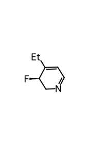 CCC1=CC=NC[C@H]1F